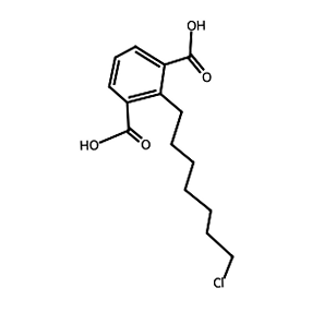 O=C(O)c1cccc(C(=O)O)c1CCCCCCCCl